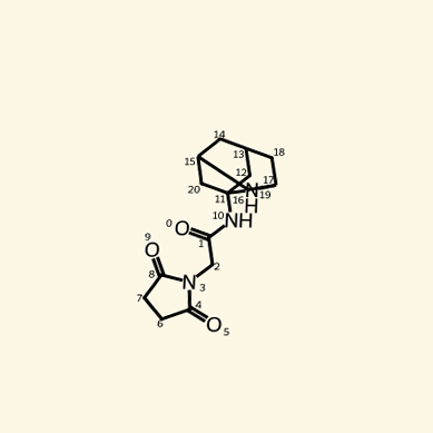 O=C(CN1C(=O)CCC1=O)NC12CC3CC(CC(C3)N1)C2